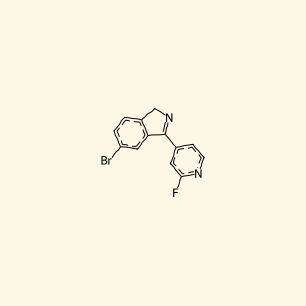 Fc1cc(C2=NCc3ccc(Br)cc32)ccn1